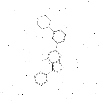 FC(F)(F)c1cc(-c2cccc(N3CCOCC3)c2)nc2[nH]nc(-c3ccccc3)c12